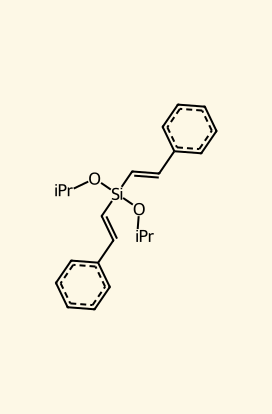 CC(C)O[Si](C=Cc1ccccc1)(C=Cc1ccccc1)OC(C)C